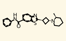 C[C@H]1CCCCN1[C@H]1C[C@H](c2nc3ccc(C(=O)Nc4ccccc4)cc3s2)C1